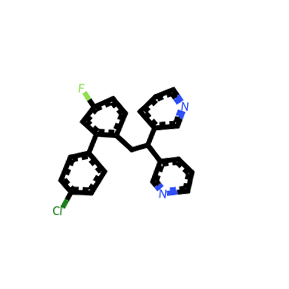 Fc1ccc(CC(c2cccnc2)c2cccnc2)c(-c2ccc(Cl)cc2)c1